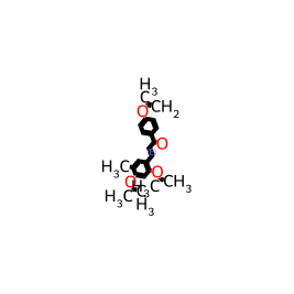 C=C(C)Oc1ccc(C(=O)/C=C/c2cc(C)c(OC(C)C)cc2OC(C)C)cc1